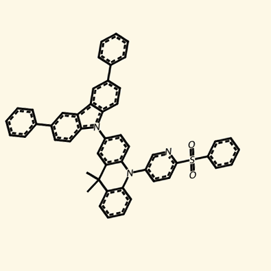 CC1(C)c2ccccc2N(c2ccc(S(=O)(=O)c3ccccc3)nc2)c2ccc(-n3c4ccc(-c5ccccc5)cc4c4cc(-c5ccccc5)ccc43)cc21